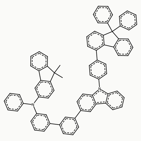 CC1(C)c2ccccc2-c2cc(N(c3ccccc3)c3cccc(-c4cccc(-c5ccc6c(c5)c5ccccc5n6-c5ccc(-c6cccc7c6-c6ccccc6C7(c6ccccc6)c6ccccc6)cc5)c4)c3)ccc21